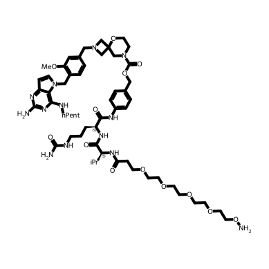 CCCCCNc1nc(N)nc2ccn(Cc3ccc(CN4CC5(C4)CN(C(=O)OCc4ccc(NC(=O)[C@H](CCCNC(N)=O)NC(=O)[C@@H](NC(=O)CCOCCOCCOCCOCCON)C(C)C)cc4)CCO5)cc3OC)c12